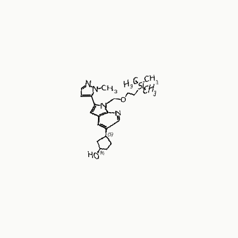 Cn1nccc1-c1cc2cc([C@H]3CC[C@@H](O)C3)cnc2n1COCC[Si](C)(C)C